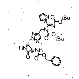 CC(C)(C)OC(=O)N=C(N(Cc1cnn(C[C@H]2NC(=O)[C@H]2NC(=O)OCc2ccccc2)n1)C(=O)OC(C)(C)C)n1cccn1